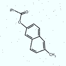 Cc1ccc2cc(OC(=O)C(C)C)ccc2c1